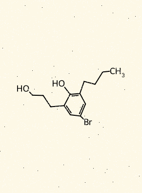 CCCCc1cc(Br)cc(CCCO)c1O